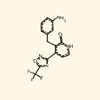 Nc1cccc(Cc2c(-c3noc(C(F)(F)F)n3)cc[nH]c2=O)c1